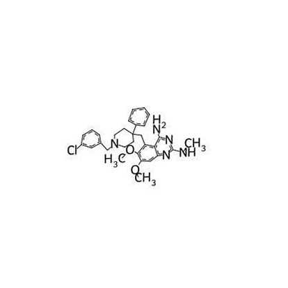 CNc1nc(N)c2c(CC3(c4ccccc4)CCN(Cc4cccc(Cl)c4)CC3)c(OC)c(OC)cc2n1